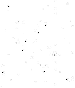 CC(C)c1ccc(OCCCl)cc1